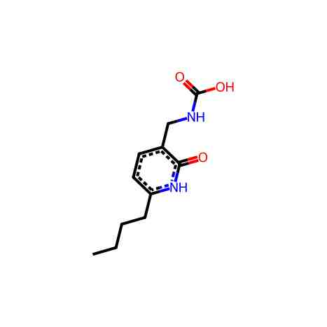 CCCCc1ccc(CNC(=O)O)c(=O)[nH]1